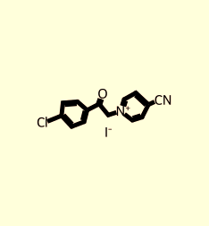 N#Cc1cc[n+](CC(=O)c2ccc(Cl)cc2)cc1.[I-]